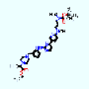 CCOC(=O)C(C)N1CCN(Cc2cccc(Nc3nccc(-c4ccc(N(C)CCCN(C)C(=O)OC(C)(C)C)nc4)n3)c2)CC1